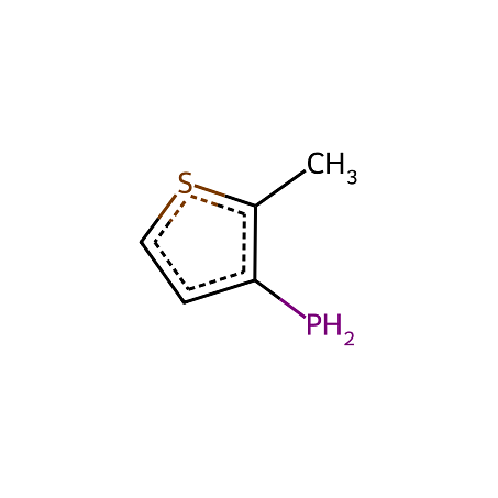 Cc1sccc1P